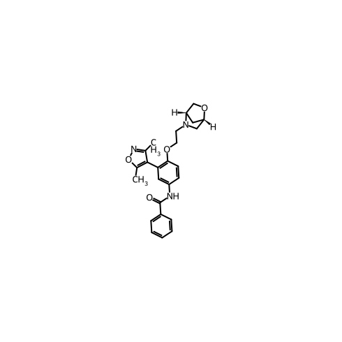 Cc1noc(C)c1-c1cc(NC(=O)c2ccccc2)ccc1OCCN1C[C@@H]2C[C@H]1CO2